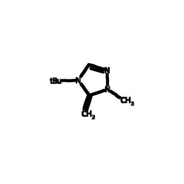 C=C1N(C)N=CN1C(C)(C)C